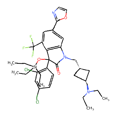 CCN(CC)[C@H]1C[C@H](CN2C(=O)C(O[Si](CC)(CC)CC)(c3ccc(Cl)cc3Cl)c3c2cc(-c2ncco2)cc3C(F)(F)F)C1